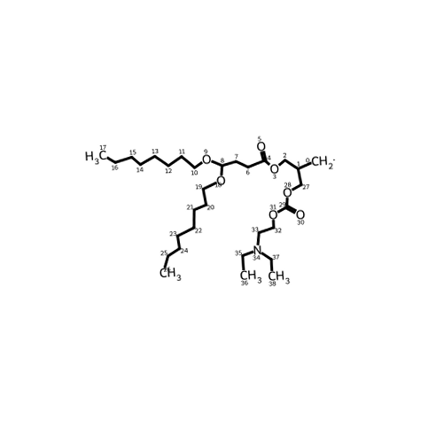 [CH2]C(COC(=O)CCC(OCCCCCCCC)OCCCCCCCC)COC(=O)OCCN(CC)CC